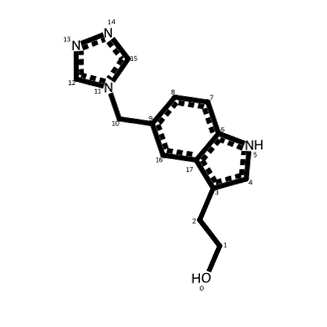 OCCc1c[nH]c2ccc(Cn3cnnc3)cc12